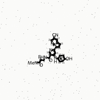 CNC(=O)[C@H](F)CNC(=O)c1cnc(-c2ccc3cc(C#N)cnn23)cc1NC12CCC(O)(CC1)CC2